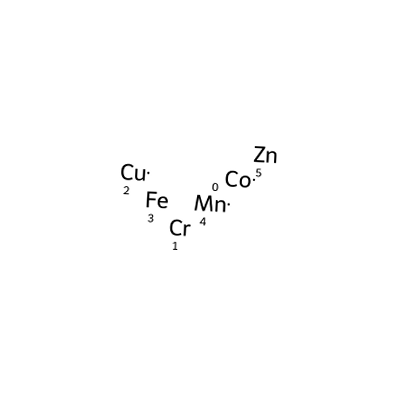 [Co].[Cr].[Cu].[Fe].[Mn].[Zn]